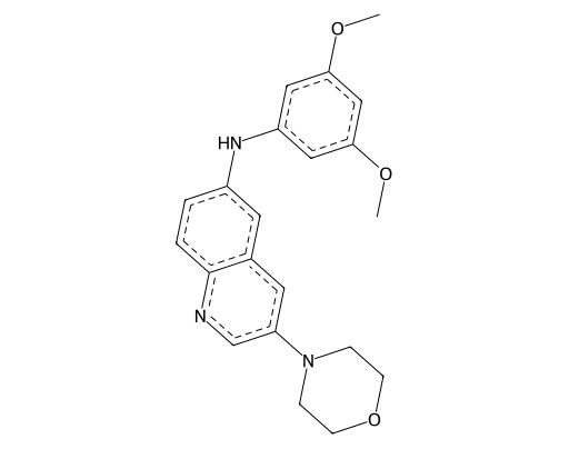 COc1cc(Nc2ccc3ncc(N4CCOCC4)cc3c2)cc(OC)c1